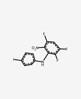 O=[N+]([O-])c1c(F)cc(F)c(F)c1Nc1ccc(I)cc1